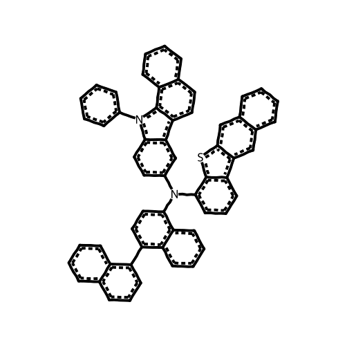 c1ccc(-n2c3ccc(N(c4ccc(-c5cccc6ccccc56)c5ccccc45)c4cccc5c4sc4cc6ccccc6cc45)cc3c3ccc4ccccc4c32)cc1